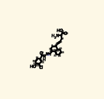 NC(CC#Cc1ccc(/C=N/NC(=O)c2ccc(O)c(Cl)c2)c2ccccc12)C(=O)O